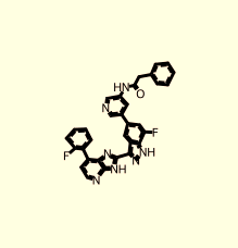 O=C(Cc1ccccc1)Nc1cncc(-c2cc(F)c3[nH]nc(-c4nc5c(-c6ccccc6F)ccnc5[nH]4)c3c2)c1